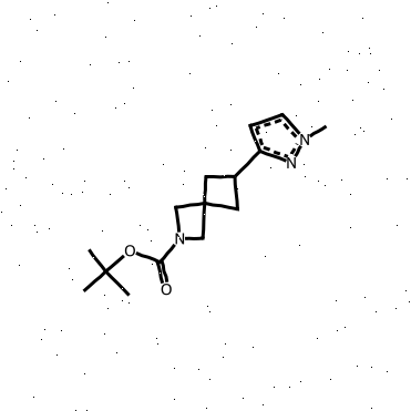 Cn1ccc(C2CC3(C2)CN(C(=O)OC(C)(C)C)C3)n1